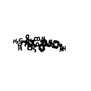 C[C@@H](O)[C@H]1C(=O)N2C(C(=O)O)=C(COc3cccc4c(C[N+]5(C)CCN(C=N)CC5)cccc34)[C@H](C)[C@H]12